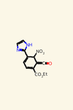 CCOC(=O)C1=CC=C(c2ncc[nH]2)C([N+](=O)[O-])C1=C=O